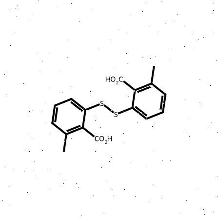 Cc1cccc(SSc2cccc(C)c2C(=O)O)c1C(=O)O